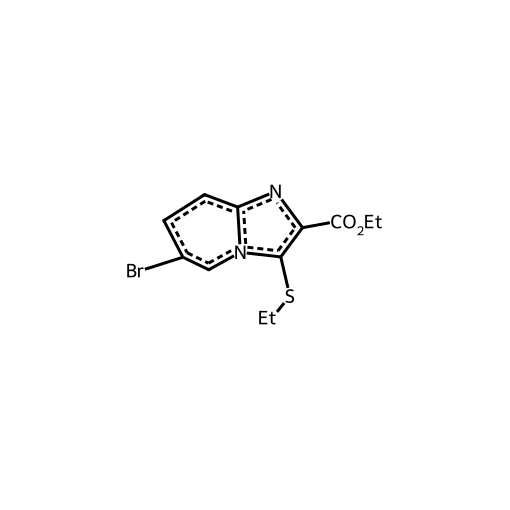 CCOC(=O)c1nc2ccc(Br)cn2c1SCC